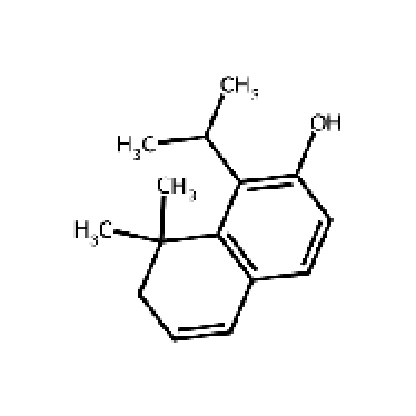 CC(C)c1c(O)ccc2c1C(C)(C)CC=C2